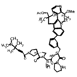 CCn1c(-c2cccnc2[C@H](C)OC)c(CC(C)(C)COC(C)=O)c2cc(-c3cccc(C[C@H](NC(=O)[C@H](C(C)C)N4CC[C@]5(CCN(C(=O)C#CC(C)(C)N(C)C)C5)C4=O)C(=O)N4CCCCN4)c3)ccc21